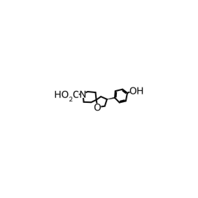 O=C(O)N1CCC2(CC1)C[C@@H](c1ccc(O)cc1)CO2